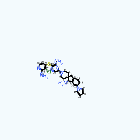 Nc1nc(N2CCC3(CC2)Cc2ccc(-n4cccc4)cc2[C@H]3N)cnc1Sc1ccnc(N)c1Cl